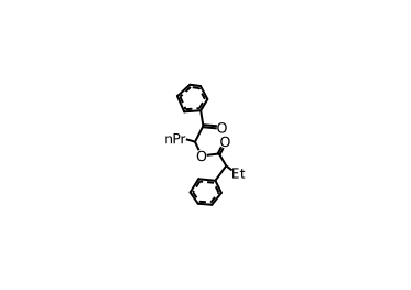 CCCC(OC(=O)C(CC)c1ccccc1)C(=O)c1ccccc1